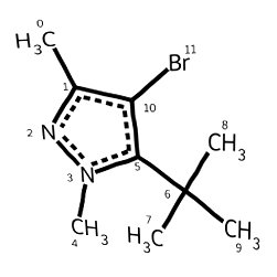 Cc1nn(C)c(C(C)(C)C)c1Br